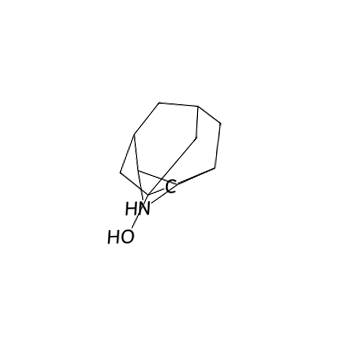 OC12CC3CC(C1)C1NC1C(C3)C2